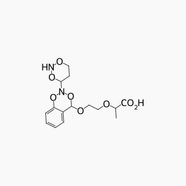 CC(OCCOC1ON(C2CCONO2)Oc2ccccc21)C(=O)O